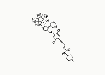 CN1CCC(NC(=O)OCC#Cc2cc(Cl)c(OCc3cnc(SC4(S)C(S)(S)C(S)(S)C(S)(S)C4(S)S)n3-c3cccnc3)cc2Cl)CC1